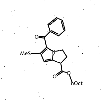 CCCCCCCCOC(=O)C1CCn2c1cc(SC)c2C(=O)c1ccccc1